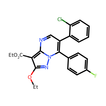 CCOC(=O)c1c(OCC)nn2c(-c3ccc(F)cc3)c(-c3ccccc3Cl)cnc12